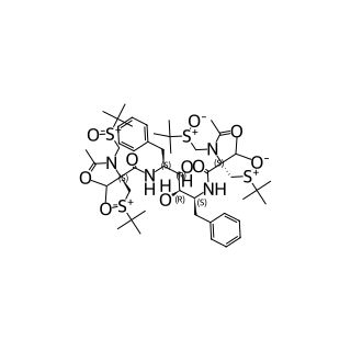 CC(=O)N(C[S+]([O-])C(C)(C)C)[C@](C[S+]([O-])C(C)(C)C)(C(=O)N[C@@H](Cc1ccccc1)[C@@H](O)[C@H](O)[C@H](Cc1ccccc1)NC(=O)[C@](C[S+]([O-])C(C)(C)C)(C(C)C)N(C[S+]([O-])C(C)(C)C)C(C)=O)C(C)C